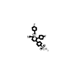 CS(=O)(=O)c1ccc(C2=C(c3ccc(F)cc3)NC(C#N)(SCc3ccc(F)cc3)C=C2)cc1